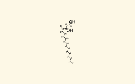 CCCCCCCCCCCCCCC(C)C(O)CCO